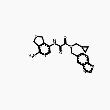 Nc1ncc(NC(=O)C(=O)N(Cc2ccc3scnc3c2)CC2CC2)c2c1COC2